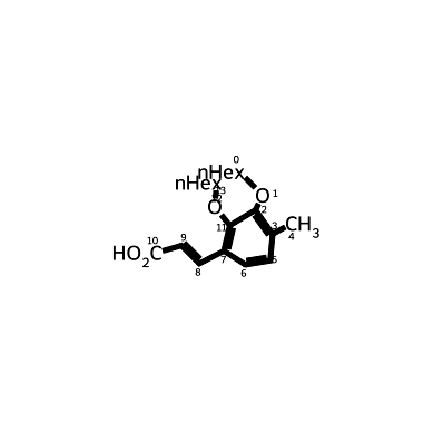 CCCCCCOc1c(C)ccc(/C=C/C(=O)O)c1OCCCCCC